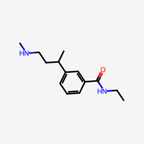 CCNC(=O)c1cccc(C(C)CCNC)c1